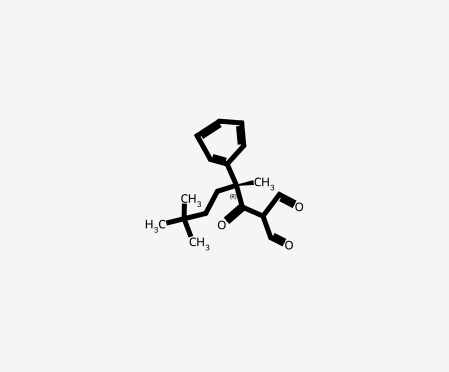 CC(C)(C)CC[C@@](C)(C(=O)C(C=O)C=O)c1ccccc1